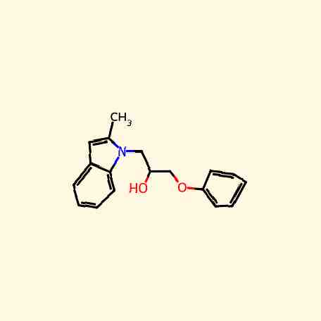 Cc1cc2ccccc2n1CC(O)COc1ccccc1